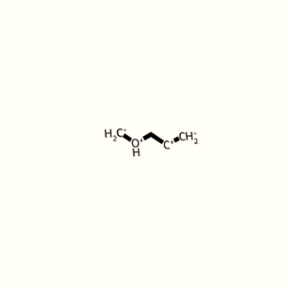 [CH2-][CH+]C[OH+][CH2-]